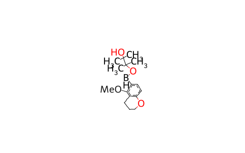 COc1c(BOC(C)(C)C(C)(C)O)ccc2c1CCCO2